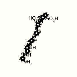 Cc1cc(N=Nc2cc(C)c(N=Nc3ccc4cc(NC(=O)c5cccc(N)c5)ccc4c3O)cc2C)ccc1N=Nc1ccc(N=Nc2cc3c(S(=O)(=O)O)cccc3cc2S(=O)(=O)O)c(C)c1